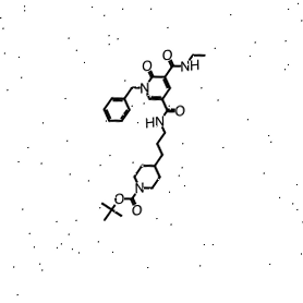 CCNC(=O)c1cc(C(=O)NCCCC2CCN(C(=O)OC(C)(C)C)CC2)cn(Cc2ccccc2)c1=O